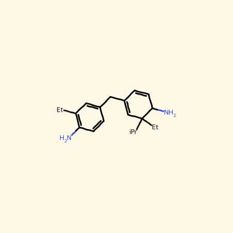 CCc1cc(CC2=CC(CC)(C(C)C)C(N)C=C2)ccc1N